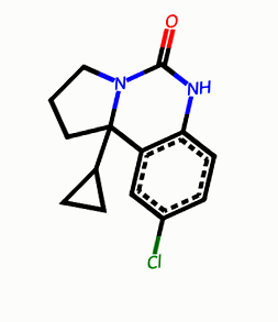 O=C1Nc2ccc(Cl)cc2C2(C3CC3)CCCN12